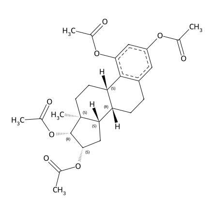 CC(=O)Oc1cc2c(c(OC(C)=O)c1)[C@H]1CC[C@@]3(C)[C@@H](C[C@H](OC(C)=O)[C@@H]3OC(C)=O)[C@H]1CC2